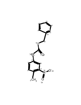 Cc1ccc(NC(=O)OCc2ccccc2)cc1[N+](=O)[O-]